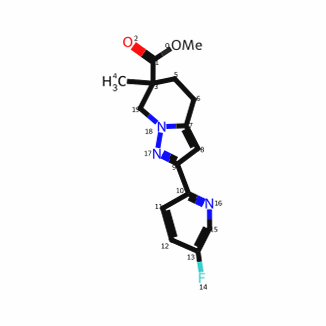 COC(=O)C1(C)CCc2cc(-c3ccc(F)cn3)nn2C1